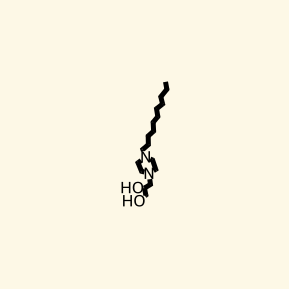 CCCCCCCCCCCN1CCN(CC(O)CO)CC1